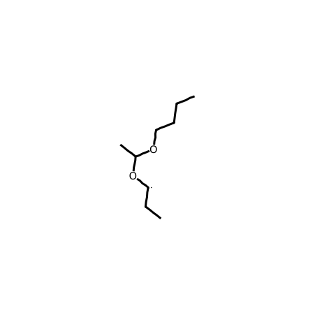 CC[CH]OC(C)OCCCC